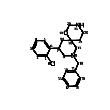 Clc1ccccc1C1CN(Cc2ccccc2)CC2(CCNCO2)C1